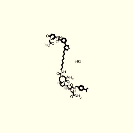 CC(C)c1ccc(CNC(=O)[C@H](CCC(N)=O)NC(=O)[C@@H]2CC[C@@H]3CCN(C(=O)NCCCCCCCCCc4cncc(-c5cccc(C(=O)Nc6ccc(=O)n(CC(=O)O)c6)c5)c4)C[C@H](N)C(=O)N32)cc1.Cl